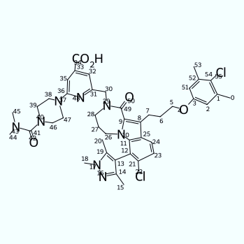 Cc1cc(OCCCc2c3n(c4c(-c5c(C)nn(C)c5C)c(Cl)ccc24)CCCN(Cc2cc(C(=O)O)cc(N4CCN(C(=O)N(C)C)CC4)n2)C3=O)cc(C)c1Cl